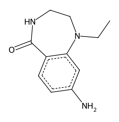 CCN1CCNC(=O)c2ccc(N)cc21